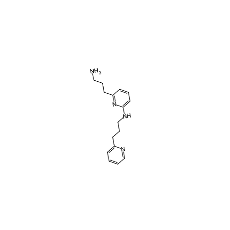 NCCCc1cccc(NCCCc2ccccn2)n1